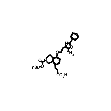 CCCCOC(=O)N1CCc2c(OCCc3nc(-c4ccccc4)oc3C)ccc(CCC(=O)O)c2C1